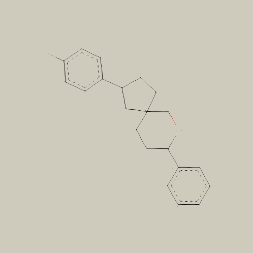 Fc1ccc(C2CCC3(CCC(c4ccccc4)OC3)C2)cc1